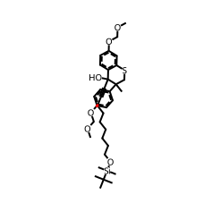 COCOc1ccc(C2(C)CSc3cc(OCOC)ccc3C2(O)C#CCCCCCCCO[Si](C)(C)C(C)(C)C)cc1